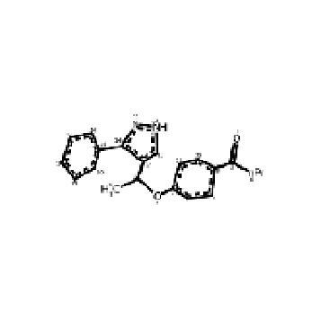 CCCC(=O)c1ccc(OC(C)c2c[nH]nc2-c2ccccc2)cc1